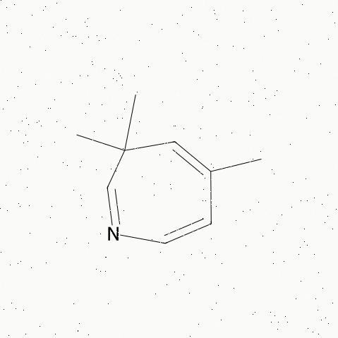 CC1=CC(C)(C)C=NC=C1